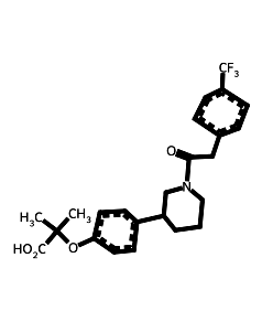 CC(C)(Oc1ccc(C2CCCN(C(=O)Cc3ccc(C(F)(F)F)cc3)C2)cc1)C(=O)O